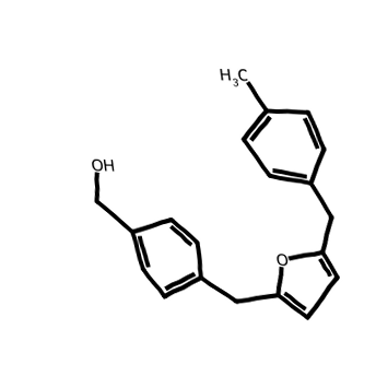 Cc1ccc(Cc2ccc(Cc3ccc(CO)cc3)o2)cc1